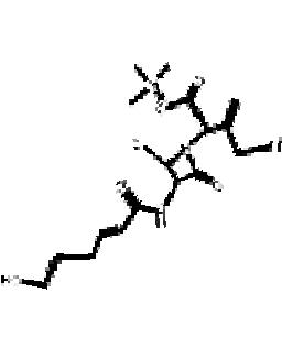 C=C(CCl)C(C(=O)O[Si](C)(C)C)N1C(=O)C(NC(=O)C=CCCCC#N)C1Cl